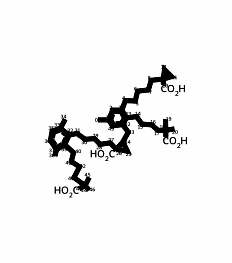 Cc1cc(CCCCCC2(C(=O)O)CC2)c(CCCCC(C)(C)C(=O)O)c(CC2CC2(CCCCCc2c(C)ccc(C)c2CCCCC(C)(C)C(=O)O)C(=O)O)c1